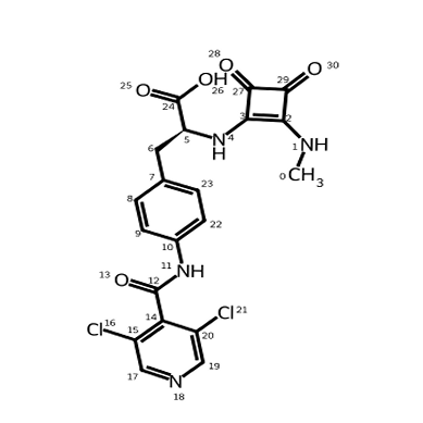 CNc1c(N[C@@H](Cc2ccc(NC(=O)c3c(Cl)cncc3Cl)cc2)C(=O)O)c(=O)c1=O